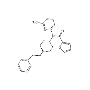 Cc1cccc(N(C(=O)c2ccco2)C2CCN(CCc3ccccc3)CC2)n1